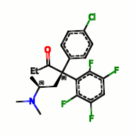 CCC(=O)[C@](C[C@H](C)N(C)C)(c1ccc(Cl)cc1)c1c(F)c(F)cc(F)c1F